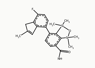 CC1=Cc2c(-c3ccc(C([NH])=O)c4c3[Si](C)(C)O[Si]4(C)C)ccc(F)c2C1